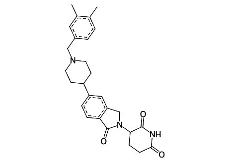 Cc1ccc(CN2CCC(c3ccc4c(c3)CN(C3CCC(=O)NC3=O)C4=O)CC2)cc1C